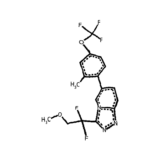 COCC(F)(F)c1nnc2ccc(-c3ccc(OC(F)(F)F)cc3C)cn12